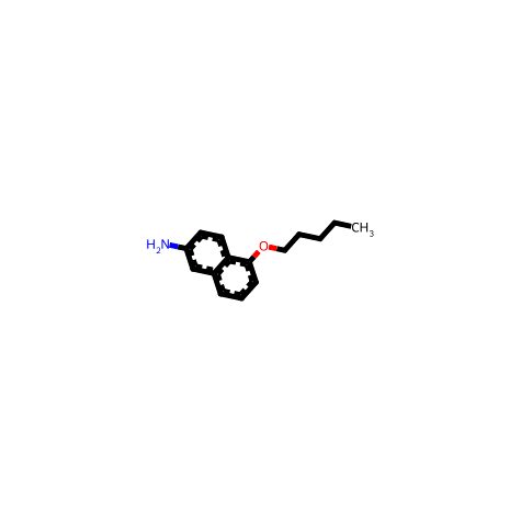 CCCCCOc1cccc2cc(N)ccc12